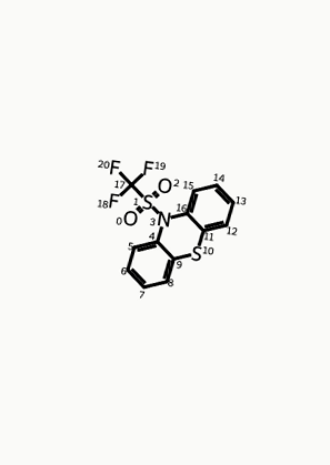 O=S(=O)(N1c2ccccc2Sc2ccccc21)C(F)(F)F